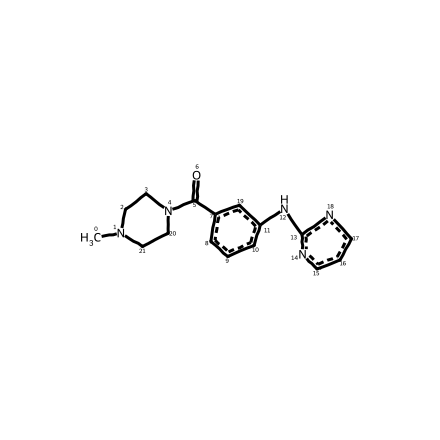 CN1CCN(C(=O)c2cccc(Nc3n[c]ccn3)c2)CC1